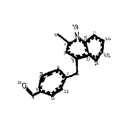 Cc1cc(Cc2ccc(C=O)cc2)c2ccccc2n1